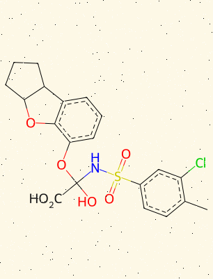 Cc1ccc(S(=O)(=O)NC(O)(Oc2cccc3c2OC2CCCC32)C(=O)O)cc1Cl